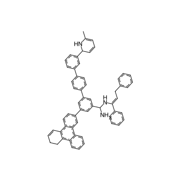 CC1=CC=CC(c2cccc(-c3ccc(-c4cc(-c5ccc6c7c(c8ccccc8c6c5)CCC=C7)cc(C(N)N/C(=C\Cc5ccccc5)c5ccccc5)c4)cc3)c2)N1